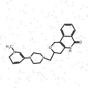 CN1C=C(N2CCN(CC3Cc4[nH]c(=O)c5ccccc5c4CO3)CC2)C=CC1